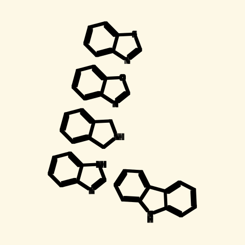 c1ccc2[nH]cnc2c1.c1ccc2c(c1)CNC2.c1ccc2c(c1)[nH]c1ccccc12.c1ccc2ocnc2c1.c1ccc2scnc2c1